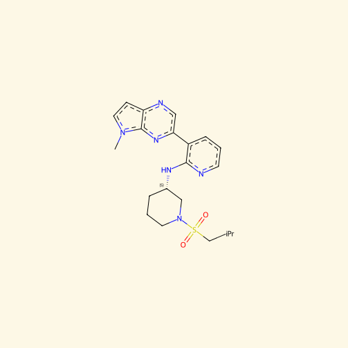 CC(C)CS(=O)(=O)N1CCC[C@H](Nc2ncccc2-c2cnc3ccn(C)c3n2)C1